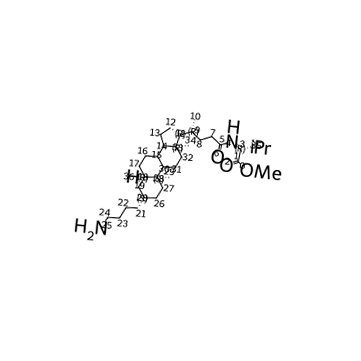 COC(=O)[C@H](NC(=O)CC[C@@H](C)[C@H]1CCC2C3CC[C@@H]4C[C@@H](CCCCN)CC[C@]4(C)C3CC[C@@]21C)C(C)C